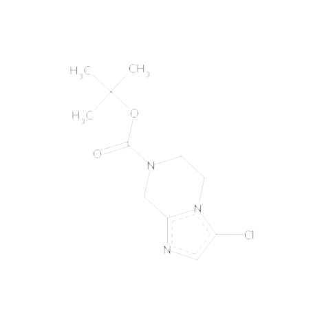 CC(C)(C)OC(=O)N1CCn2c(Cl)cnc2C1